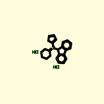 C1=CC[C]([Ti](=[C]2CCCCC2)[CH]2c3ccccc3-c3ccccc32)=C1.Cl.Cl